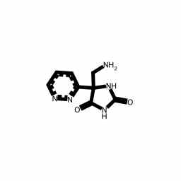 NCC1(c2cccnn2)NC(=O)NC1=O